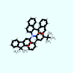 CC(C)(C)c1ccc(N(c2ccc3c(c2)-c2ccccc2C3(C)C)c2ccc3ccccc3c2-c2cccc3ccccc23)c(-c2ccccc2)c1